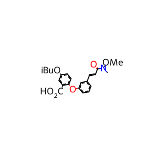 CON(C)C(=O)C=Cc1cccc(Oc2ccc(OCC(C)C)cc2C(=O)O)c1